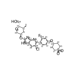 C[C@H]1C[C@@H](Oc2nc3nc(-c4ccc(OC5CCS(=O)(=O)CC5)cc4F)c(Cl)cc3[nH]2)CO[C@@H]1CO